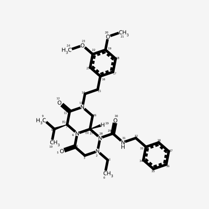 CCN1CC(=O)N2[C@@H](C(C)C)C(=O)N(CCc3ccc(OC)c(OC)c3)C[C@@H]2N1C(=O)NCc1ccccc1